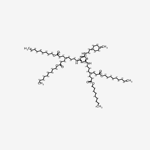 CCCCCCCCCOC(=O)CCN(CCCNc1nc(NCCCN(CCC(=O)OCCCCCCCCC)CCC(=O)OCCCCCCCCC)nc(NCCN2CCN(C)CC2)n1)CCC(=O)OCCCCCCCCC